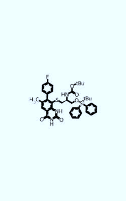 Cc1cc2c(=O)[nH]c(=O)[nH]c2c(SC[C@H](CO[Si](c2ccccc2)(c2ccccc2)C(C)(C)C)NC(=O)OC(C)(C)C)c1-c1ccc(F)cc1